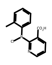 Cc1ccccc1N(Cl)c1ncccc1C(=O)O